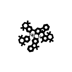 Cc1cc2c(c3c1N1c4cc5c(cc4B4c6c(cc7c(c61)C3(C)c1ccccc1-7)-c1cc3c(cc1N4c1ccc4c(c1)C(C)(C)CCC4(C)C)C(C)(C)CCC3(C)C)-c1ccccc1C5(C)C)C(C)(C)CCC2(C)C